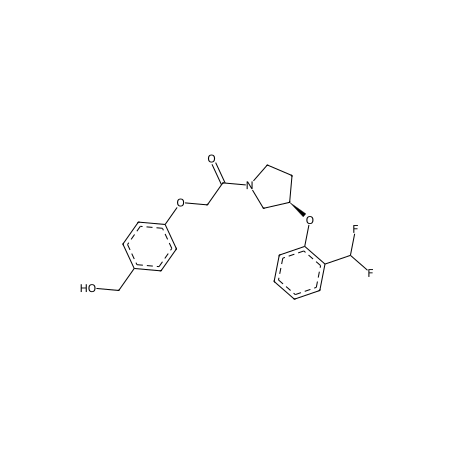 O=C(COc1ccc(CO)cc1)N1CC[C@@H](Oc2ccccc2C(F)F)C1